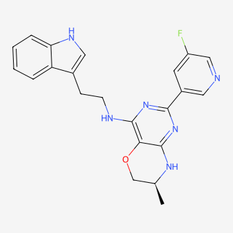 C[C@H]1COc2c(NCCc3c[nH]c4ccccc34)nc(-c3cncc(F)c3)nc2N1